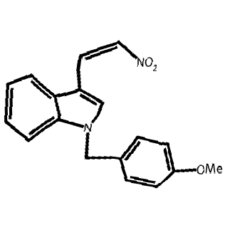 COc1ccc(Cn2cc(/C=C\[N+](=O)[O-])c3ccccc32)cc1